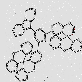 c1ccc2c(c1)Oc1ccccc1S21c2ccccc2Oc2ccc(-c3cc(-n4c5ccccc5c5ccccc54)nc(-c4ccc5c(c4)S4(c6ccccc6Oc6ccccc64)c4ccccc4O5)n3)cc21